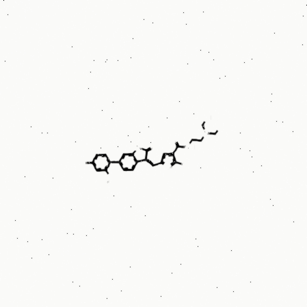 CCN(CC)CCNC(=O)c1cc(C=C2C(=O)Nc3cc(-c4ccc(O)cc4OC)ccc32)[se]c1C